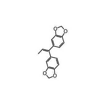 CC=C(c1ccc2c(c1)OCO2)c1ccc2c(c1)OCO2